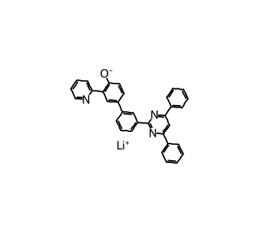 [Li+].[O-]c1ccc(-c2cccc(-c3nc(-c4ccccc4)cc(-c4ccccc4)n3)c2)cc1-c1ccccn1